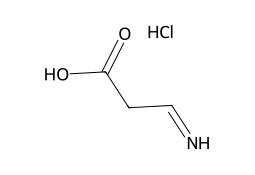 Cl.N=CCC(=O)O